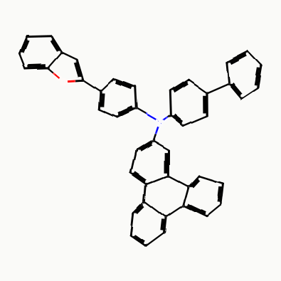 c1ccc(-c2ccc(N(c3ccc(-c4cc5ccccc5o4)cc3)c3ccc4c5ccccc5c5ccccc5c4c3)cc2)cc1